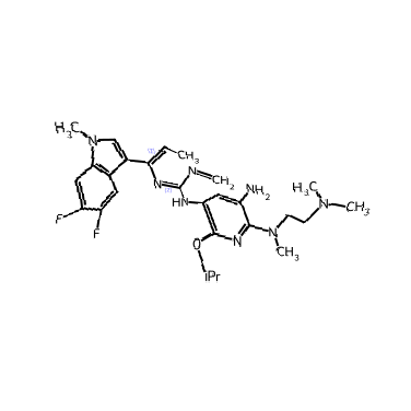 C=N/C(=N\C(=C/C)c1cn(C)c2cc(F)c(F)cc12)Nc1cc(N)c(N(C)CCN(C)C)nc1OC(C)C